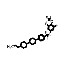 CCCC1CCC(C2CCC(c3ccc(C(F)(F)Oc4cc(F)c(OC(F)(F)F)c(F)c4)cc3)CC2)CC1